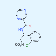 O=C(O)CC(NC(=O)c1cnccn1)c1ccccc1Cl